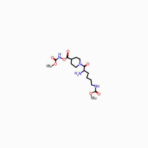 CC(C)(C)OC(=O)NCCCCC(N)C(=O)N1CCC(C(=O)ONC(=O)OC(C)(C)C)CC1